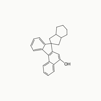 Oc1cc2c(c3ccccc13)-c1ccccc1C21CC2CCCCC2C1